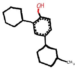 CC1CCCC(c2ccc(O)c(C3CCCCC3)c2)C1